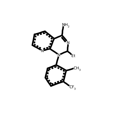 CCC1N=C(N)c2cccnc2N1c1cccc(C(F)(F)F)c1C